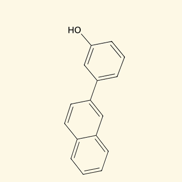 Oc1cccc(-c2ccc3ccccc3c2)c1